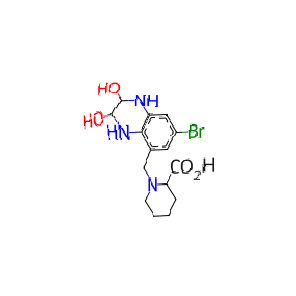 O=C(O)C1CCCCN1Cc1cc(Br)cc2c1NC(O)C(O)N2